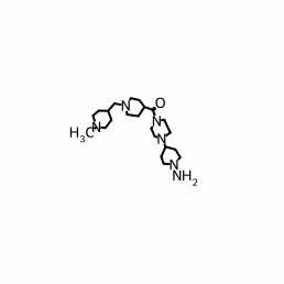 CN1CCC(CN2CCC(C(=O)N3CCN(C4CCN(N)CC4)CC3)CC2)CC1